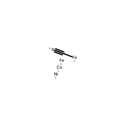 N#[C][Fe].[Co].[Fe].[Ni]